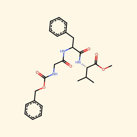 COC(=O)[C@@H](NC(=O)C(Cc1ccccc1)NC(=O)CNC(=O)OCc1ccccc1)C(C)C